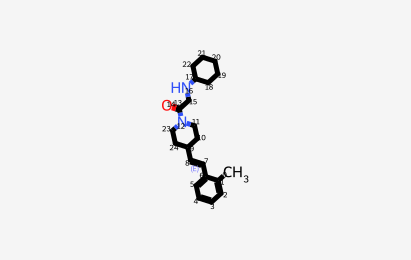 Cc1ccccc1/C=C/C1CCN(C(=O)CNC2CCCCC2)CC1